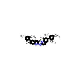 CBn1/c(=N\c2ccc3cc(-c4c(C)cc(C)cc4C)ccc3n2)ccc2cc(-c3c(C)cc(C)cc3C)ccc21